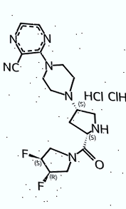 Cl.Cl.N#Cc1nccnc1N1CCN([C@@H]2CN[C@H](C(=O)N3C[C@@H](F)[C@@H](F)C3)C2)CC1